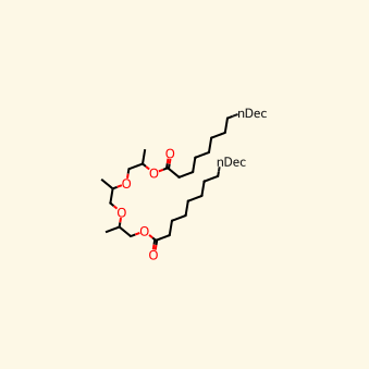 CCCCCCCCCCCCCCCCCC(=O)OCC(C)OCC(C)OCC(C)OC(=O)CCCCCCCCCCCCCCCCC